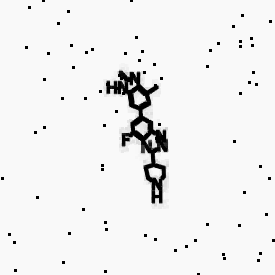 Cc1nc2c(C)cc(-c3cc(F)c4nc(C5CCNCC5)nnc4c3)cc2[nH]1